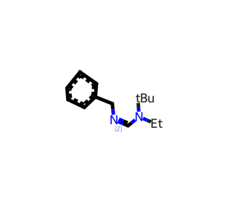 CCN(/C=N\Cc1ccccc1)C(C)(C)C